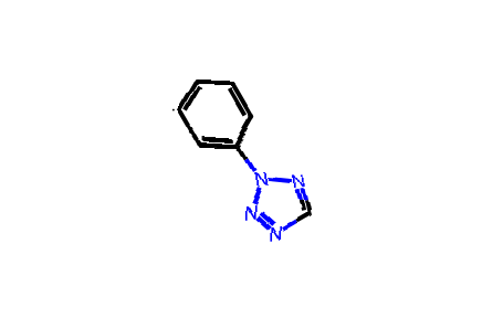 [c]1cccc(-n2ncnn2)c1